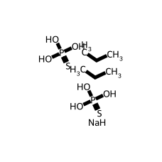 CCC.CCC.OP(O)(O)=S.OP(O)(O)=S.[NaH]